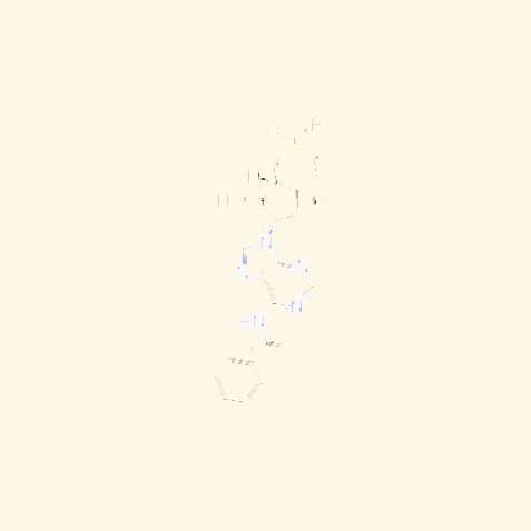 O=C(Nc1ncnc2c1ncn2[C@@H]1O[C@@H]2COP(=O)(O)O[C@H]2[C@H]1O)c1ccccc1